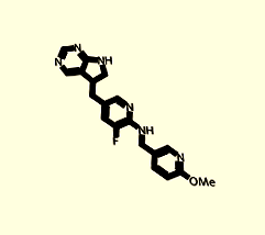 COc1ccc(CNc2ncc(CC3CNc4ncncc43)cc2F)cn1